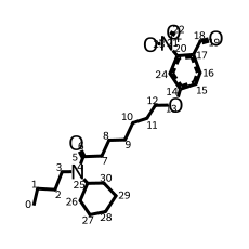 CCCCN(C(=O)CCCCCCOc1ccc(C=O)c([N+](=O)[O-])c1)C1CCCCC1